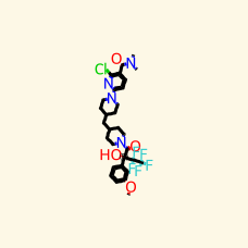 COc1cccc([C@@](O)(C(=O)N2CCC(CC3CCN(c4ccc(C(=O)N(C)C)c(Cl)n4)CC3)CC2)C(F)(F)C(F)(F)F)c1